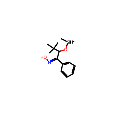 C[SiH](C)OC(C(=NO)c1ccccc1)C(C)(C)C